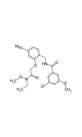 CCN(OC)C(=O)COc1cc(C#N)ccc1CNC(=O)c1cc(Cl)cc(OC)c1